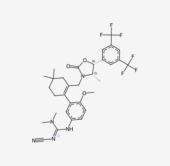 COc1ccc(N/C(=N/C#N)N(C)C)cc1C1=C(CN2C(=O)O[C@H](c3cc(C(F)(F)F)cc(C(F)(F)F)c3)[C@@H]2C)CC(C)(C)CC1